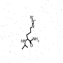 CC(C)NC(CCCN=[N+]=[N-])C(N)=O